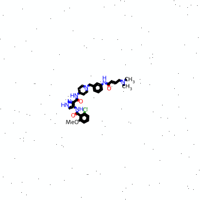 COc1cccc(Cl)c1C(=O)Nc1c[nH]nc1C(=O)NC1CCN(Cc2cccc(NC(=O)/C=C/CN(C)C)c2)CC1